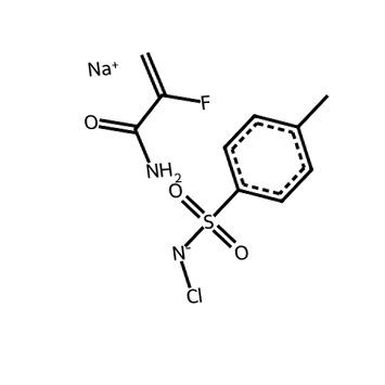 C=C(F)C(N)=O.Cc1ccc(S(=O)(=O)[N-]Cl)cc1.[Na+]